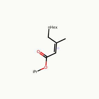 CCCCCCC/C(C)=C\C(=O)OC(C)C